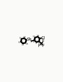 FC(F)(F)c1cc(C[Se]c2ccccc2)ccc1Cl